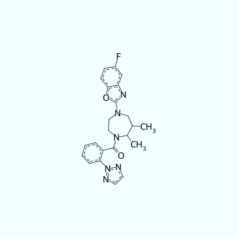 CC1CN(c2nc3cc(F)ccc3o2)CCN(C(=O)c2ccccc2-n2nccn2)C1C